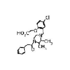 CC1C(C)N(C(=O)Cc2ccccc2)CCN1Cc1cc(Cl)ccc1OCC(=O)O